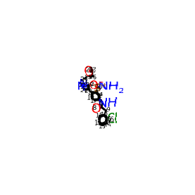 N[S+]([O-])c1cc(NC(=O)Cc2ccccc2Cl)ccc1-c1cnn(CC2CCO2)c1